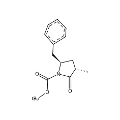 C[C@H]1C[C@H](Cc2ccccc2)N(C(=O)OC(C)(C)C)C1=O